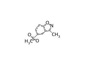 Cc1noc2ccc(S(C)(=O)=O)cc12